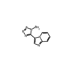 Bn1bbnc1-c1cnc2ccccn12